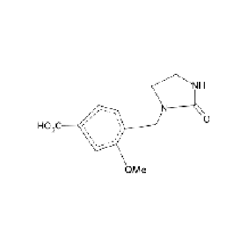 COc1cc(C(=O)O)ccc1CN1CCNC1=O